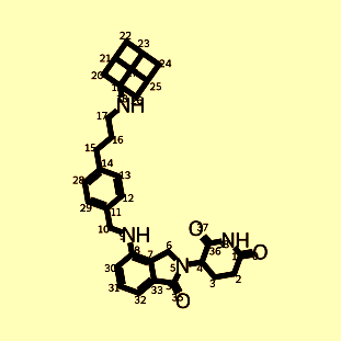 O=C1CCC(N2Cc3c(NCc4ccc(CCCNC56CC7CC8CC(C5)C876)cc4)cccc3C2=O)C(=O)N1